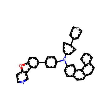 c1ccc(-c2ccc(N(c3ccc(-c4ccc5oc6ccncc6c5c4)cc3)c3ccc4ccc5ccc6ccccc6c5c4c3)cc2)cc1